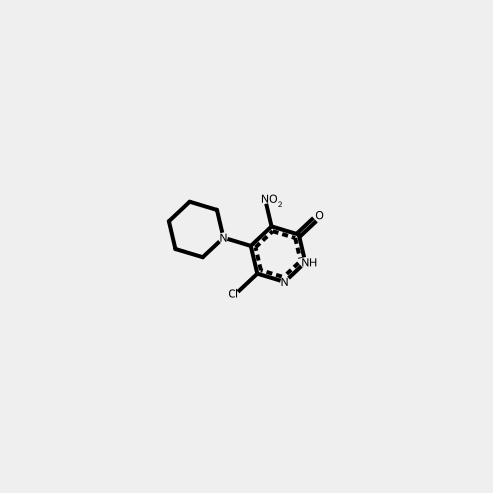 O=c1[nH]nc(Cl)c(N2CCCCC2)c1[N+](=O)[O-]